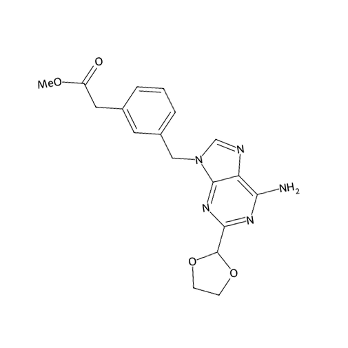 COC(=O)Cc1cccc(Cn2cnc3c(N)nc(C4OCCO4)nc32)c1